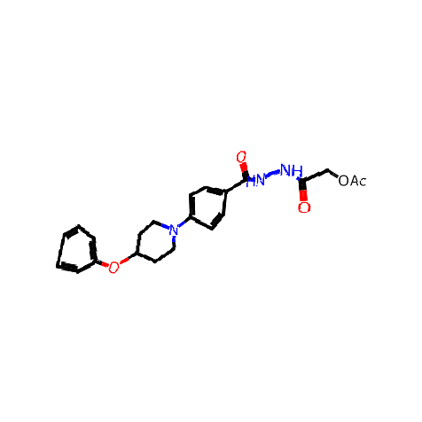 CC(=O)OCC(=O)NNC(=O)c1ccc(N2CCC(Oc3ccccc3)CC2)cc1